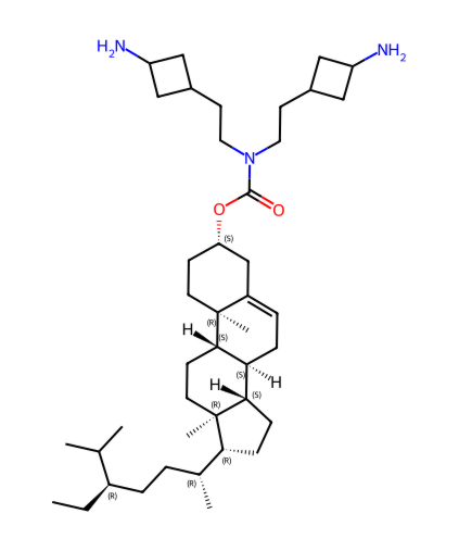 CC[C@H](CC[C@@H](C)[C@H]1CC[C@H]2[C@@H]3CC=C4C[C@@H](OC(=O)N(CCC5CC(N)C5)CCC5CC(N)C5)CC[C@]4(C)[C@H]3CC[C@]12C)C(C)C